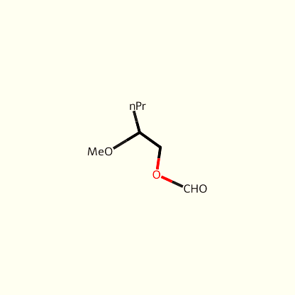 CCCC(COC=O)OC